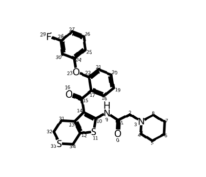 O=C(CN1CCCCC1)Nc1sc2c(c1C(=O)c1ccccc1Oc1cccc(F)c1)CCSC2